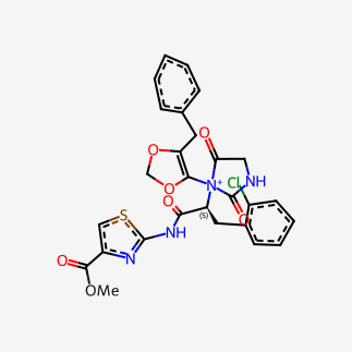 COC(=O)c1csc(NC(=O)[C@H](Cc2ccccc2Cl)[N+]2(C3=C(Cc4ccccc4)OCO3)C(=O)CNC2=O)n1